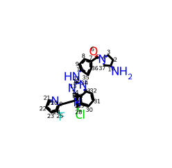 NC1CCN(C(=O)c2ccc(NC3=NCC45CC=C(c6ncccc6F)N=C(Cl)C4=CC=CC5=N3)cc2)C1